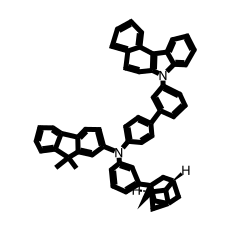 CC1(C)c2ccccc2-c2ccc(N(c3ccc(-c4cccc(-n5c6ccccc6c6c7ccccc7ccc65)c4)cc3)c3cccc(C45C[C@@H]6CC7(C[C@@H](C4)C67)C5)c3)cc21